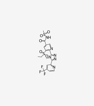 CCS(=O)(=O)c1cc(C(=O)NS(C)(=O)=O)cnc1-c1nnc(-c2cc(C(F)(F)F)ccn2)n1C